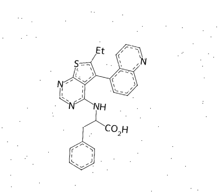 CCc1sc2ncnc(NC(Cc3ccccc3)C(=O)O)c2c1-c1cccc2ncccc12